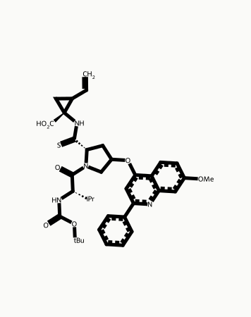 C=CC1C[C@]1(NC(=S)[C@@H]1CC(Oc2cc(-c3ccccc3)nc3cc(OC)ccc23)CN1C(=O)[C@@H](NC(=O)OC(C)(C)C)C(C)C)C(=O)O